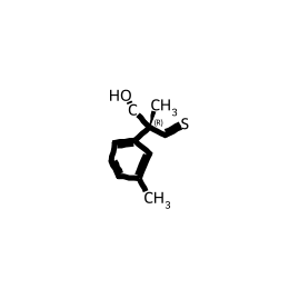 Cc1cccc([C@@](C)(C=S)CO)c1